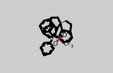 O=S(=O)(c1cccc2c1[C@@]1(CCc3cccc(P(c4ccccc4)c4ccccc4)c31)CC2)C(F)(F)F